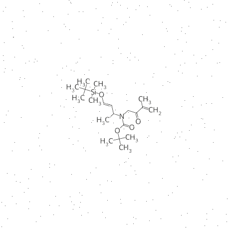 C=C(C)C(=O)CN(C(=O)OC(C)(C)C)C(C)C=CO[Si](C)(C)C(C)(C)C